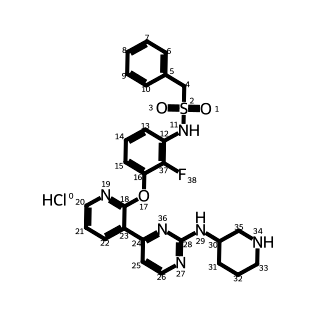 Cl.O=S(=O)(Cc1ccccc1)Nc1cccc(Oc2ncccc2-c2ccnc(NC3CCCNC3)n2)c1F